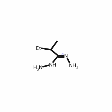 CCC(C)/C(=N/N)NN